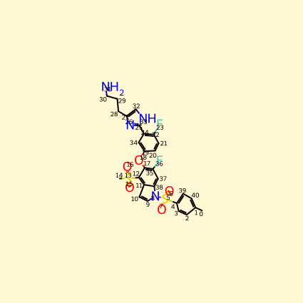 Cc1ccc(S(=O)(=O)n2ccc3c(S(C)(=O)=O)c(Oc4ccc(F)c(-c5nc(CCCN)c[nH]5)c4)c(F)cc32)cc1